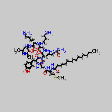 CCCCCCCCCCCCCCCC(=O)N[C@@H](CCSC)C(=O)NCC(=O)N[C@@H](Cc1ccc(O)cc1)C(=O)N[C@@H](CCCNC(N)=O)C(=O)N[C@@H](CCCCN)C(=O)N[C@@H](CCCCN)C(=O)N[C@@H](CC(C)C)C(=O)NC